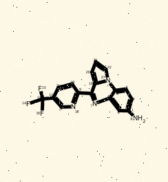 Nc1ccc2c(c1)nc(-c1ccc(C(F)(F)F)cn1)c1cccn12